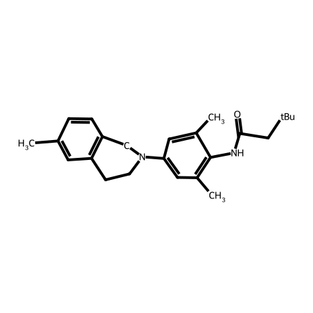 Cc1ccc2c(c1)CCN(c1cc(C)c(NC(=O)CC(C)(C)C)c(C)c1)C2